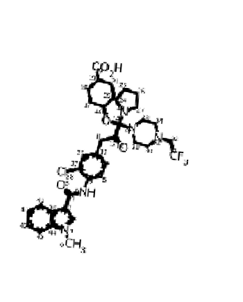 Cn1cc(C(=O)Nc2ccc(CC(=O)C(OC3CCC(C(=O)O)CC3)(N3CCCC3)N3CCN(CC(F)(F)F)CC3)cc2Cl)c2ccccc21